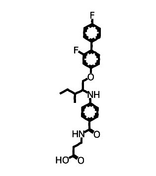 CCC(C)C(COc1ccc(-c2ccc(F)cc2)c(F)c1)Nc1ccc(C(=O)NCCC(=O)O)cc1